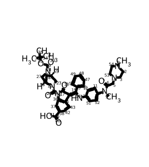 CN1CCN(CC(=O)N(C)c2ccc(NC(=C3C(=O)N(C(=O)N4C[C@@H]5C[C@H]4CN5C(=O)OC(C)(C)C)c4cc(C(=O)O)ccc43)c3ccccc3)cc2)CC1